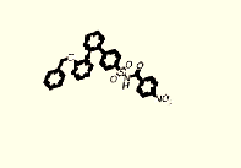 O=C(NS(=O)(=O)c1ccc(-c2ccccc2-c2ccccc2OCc2ccccc2)cc1)c1ccc([N+](=O)[O-])cc1